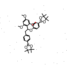 COc1cc(OC)c(C(Cc2ccc(B3OC(C)(C)C(C)(C)O3)cc2)Oc2ccc(B3OC(C)(C)C(C)(C)O3)cc2)c(OC)c1